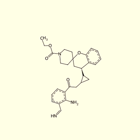 CCOC(=O)N1CCC2(CC1)C[C@H](C1CC1CC(=O)c1cccc(C=N)c1N)c1ccccc1O2